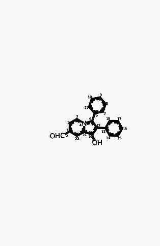 O=[C]c1ccn2c(-c3ccccc3)c(-c3ccccc3)c(O)c2c1